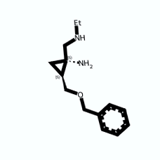 CCNC[C@]1(N)C[C@@H]1COCc1ccccc1